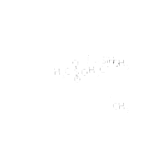 CCCCCC(C)(C)[SiH2]C1CC1OS(C)(=O)=O